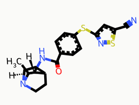 C[C@H]1[C@H](NC(=O)c2ccc(Sc3cc(C#N)sn3)cc2)C2CCN1CC2